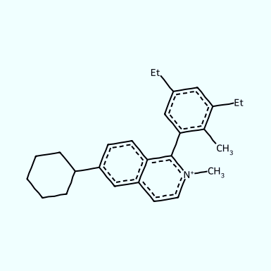 CCc1cc(CC)c(C)c(-c2c3ccc(C4CCCCC4)cc3cc[n+]2C)c1